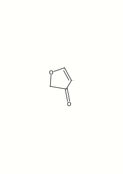 O=C1[C]=COC1